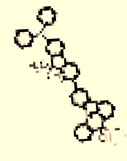 CC1(C)c2cc(-c3ccc4c(c3)c3cccc5c3n4-c3ccccc3C5(C)C)ccc2-c2ccc(N(c3ccccc3)c3ccccc3)cc21